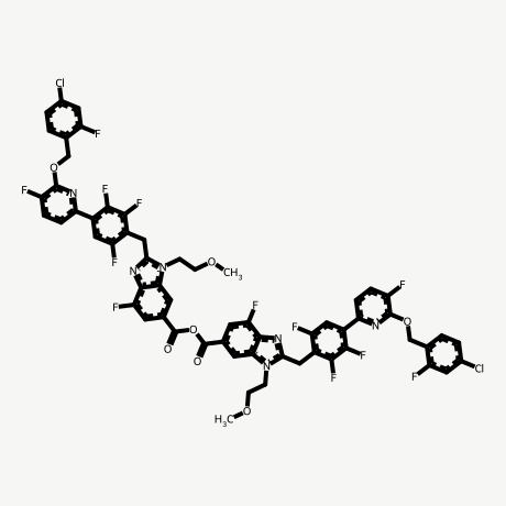 COCCn1c(Cc2c(F)cc(-c3ccc(F)c(OCc4ccc(Cl)cc4F)n3)c(F)c2F)nc2c(F)cc(C(=O)OC(=O)c3cc(F)c4nc(Cc5c(F)cc(-c6ccc(F)c(OCc7ccc(Cl)cc7F)n6)c(F)c5F)n(CCOC)c4c3)cc21